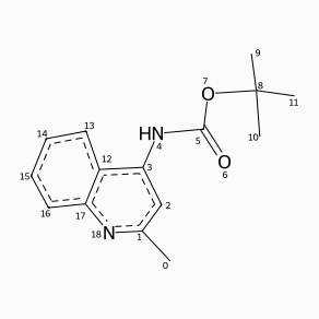 Cc1cc(NC(=O)OC(C)(C)C)c2ccccc2n1